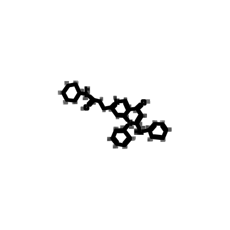 O=C(CCc1cc2c(cn1)c(=O)cc(Nc1ccccc1)n2-c1ccccc1)NC1CCCCC1